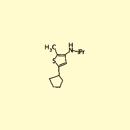 Cc1sc(C2CCCC2)cc1NC(C)C